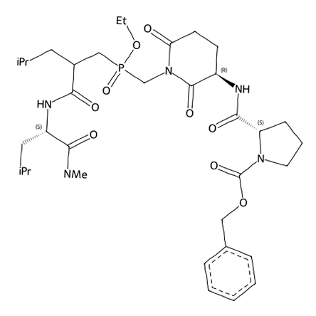 CCOP(=O)(CC(CC(C)C)C(=O)N[C@@H](CC(C)C)C(=O)NC)CN1C(=O)CC[C@@H](NC(=O)[C@@H]2CCCN2C(=O)OCc2ccccc2)C1=O